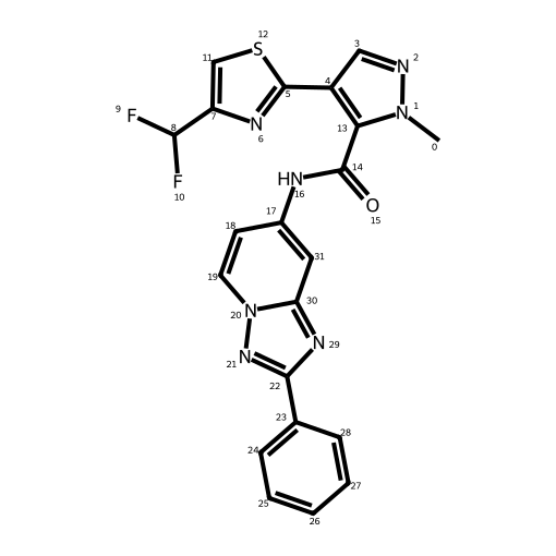 Cn1ncc(-c2nc(C(F)F)cs2)c1C(=O)Nc1ccn2nc(-c3ccccc3)nc2c1